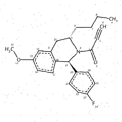 C#CC(=O)N1[C@@H](CCCC)Cc2cc(OC)ccc2[C@@H]1c1ccc(F)cc1